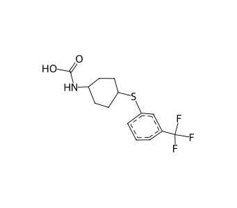 O=C(O)NC1CCC(Sc2cccc(C(F)(F)F)c2)CC1